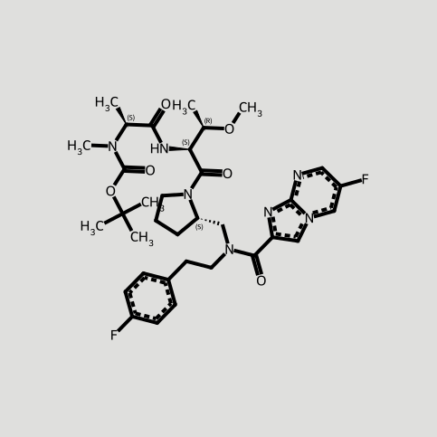 CO[C@H](C)[C@H](NC(=O)[C@H](C)N(C)C(=O)OC(C)(C)C)C(=O)N1CCC[C@H]1CN(CCc1ccc(F)cc1)C(=O)c1cn2cc(F)cnc2n1